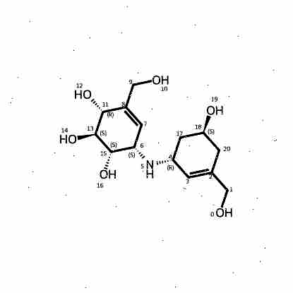 OCC1=C[C@H](N[C@H]2C=C(CO)[C@@H](O)[C@H](O)[C@H]2O)C[C@@H](O)C1